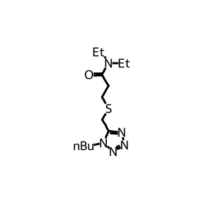 CCCCn1nnnc1CSCCC(=O)N(CC)CC